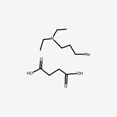 CCN(CC)CC[CH2][Na].O=C(O)CCC(=O)O